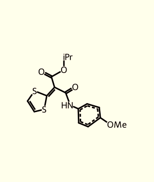 COc1ccc(NC(=O)C(C(=O)OC(C)C)=C2SC=CS2)cc1